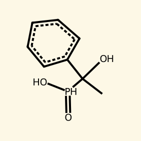 CC(O)(c1ccccc1)[PH](=O)O